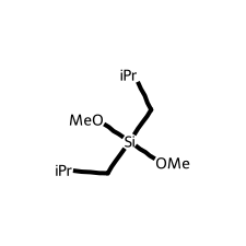 CO[Si](CC(C)C)(CC(C)C)OC